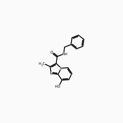 Cc1nc2c(O)cccn2c1C(=O)NCc1ccccc1